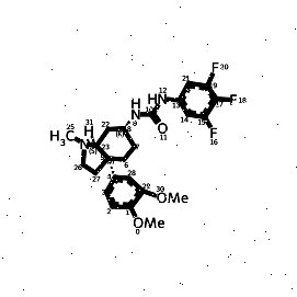 COc1ccc([C@@]23CC[C@@H](NC(=O)Nc4cc(F)c(F)c(F)c4)C[C@@H]2N(C)CC3)cc1OC